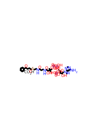 CC(C)(COP(=O)(O)OP(=O)(O)OC[C@H]1O[C@@H](n2cnc3c(N)ncnc32)[C@H](O)[C@@H]1OP(=O)(O)O)C(O)C(=O)NCCC(=O)NCCSC(=O)CCC(=O)c1ccccc1C(=O)O